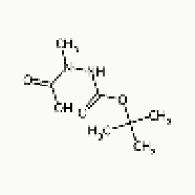 CN(NC(=O)OC(C)(C)C)C(=O)O